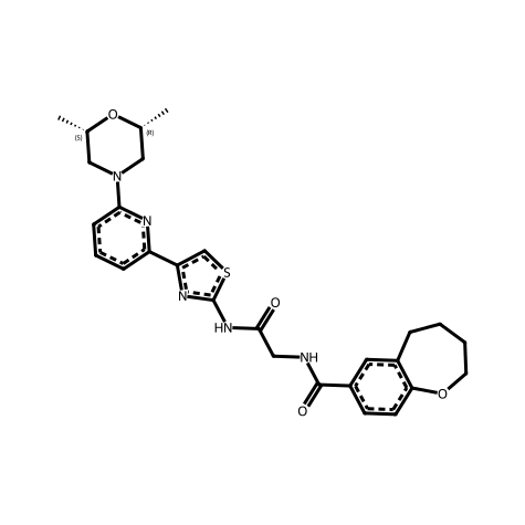 C[C@@H]1CN(c2cccc(-c3csc(NC(=O)CNC(=O)c4ccc5c(c4)CCCCO5)n3)n2)C[C@H](C)O1